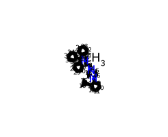 CN(CCN1CCN(c2ccccc2C2CC2)CC1)C(c1ccccc1)(c1ccccc1)c1ccccc1